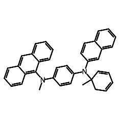 CN(c1ccc(N(c2ccc3ccccc3c2)C2(C)C=CC=CC2)cc1)c1c2ccccc2cc2ccccc12